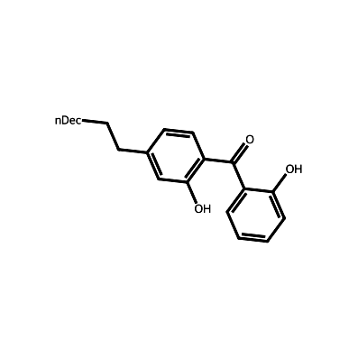 CCCCCCCCCCCCc1ccc(C(=O)c2ccccc2O)c(O)c1